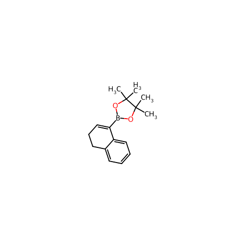 CC1(C)OB(C2=CCCc3ccccc32)OC1(C)C